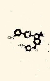 N[C@@H]1CCN(C(=O)c2ccc3c(c2)N(c2ncc(-c4cccc([C]=O)c4)cn2)CC32CC2)C1